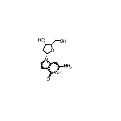 Nc1cc2c(ccn2[C@@H]2C[C@H](O)[C@@H](CO)O2)c(=O)[nH]1